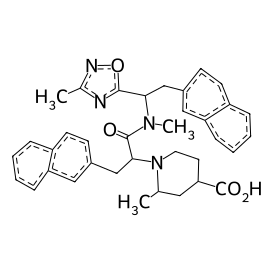 Cc1noc(C(Cc2ccc3ccccc3c2)N(C)C(=O)C(Cc2ccc3ccccc3c2)N2CCC(C(=O)O)CC2C)n1